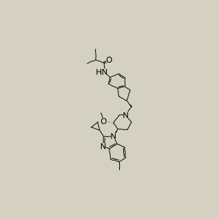 CO[C@@H]1CN(C[C@@H]2Cc3ccc(NC(=O)C(C)C)cc3C2)CC[C@H]1n1c(C2CC2)nc2cc(C)ccc21